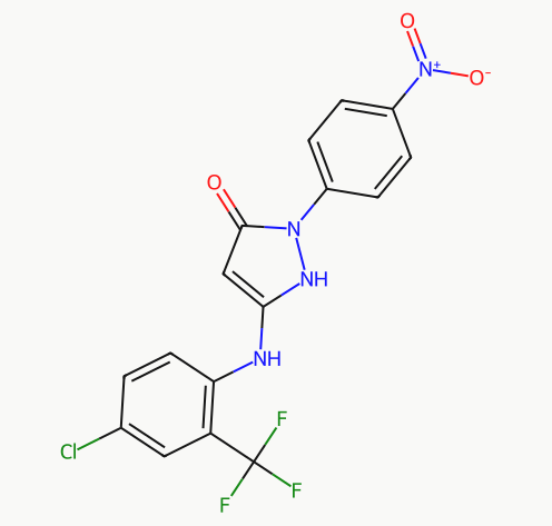 O=c1cc(Nc2ccc(Cl)cc2C(F)(F)F)[nH]n1-c1ccc([N+](=O)[O-])cc1